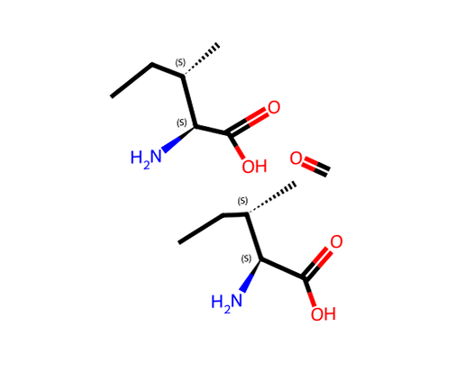 C=O.CC[C@H](C)[C@H](N)C(=O)O.CC[C@H](C)[C@H](N)C(=O)O